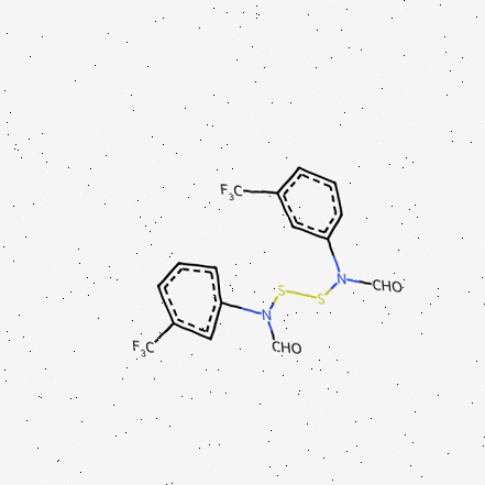 O=CN(SSN(C=O)c1cccc(C(F)(F)F)c1)c1cccc(C(F)(F)F)c1